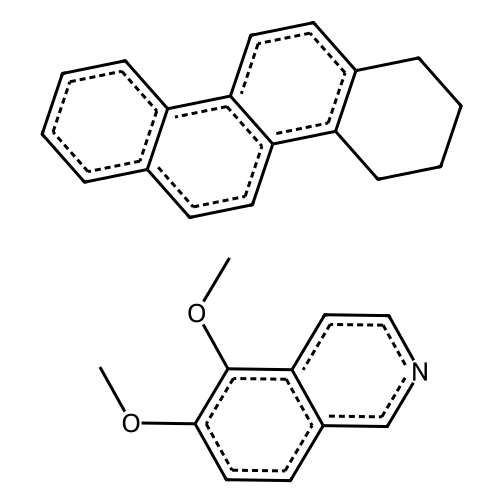 COc1ccc2cnccc2c1OC.c1ccc2c(c1)ccc1c3c(ccc12)CCCC3